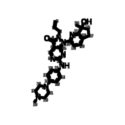 C=CCn1c(=O)c2cnc(Nc3ccc(N4CCN(C)CC4)cc3)nc2n1-c1ccc2c(n1)C(C)(O)CC2